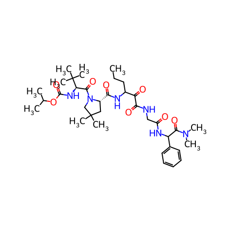 CCCC(NC(=O)[C@@H]1CC(C)(C)CN1C(=O)[C@@H](NC(=O)OC(C)C)C(C)(C)C)C(=O)C(=O)NCC(=O)NC(C(=O)N(C)C)c1ccccc1